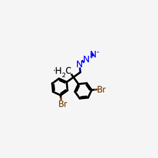 [CH2]C(CN=[N+]=[N-])(c1cccc(Br)c1)c1cccc(Br)c1